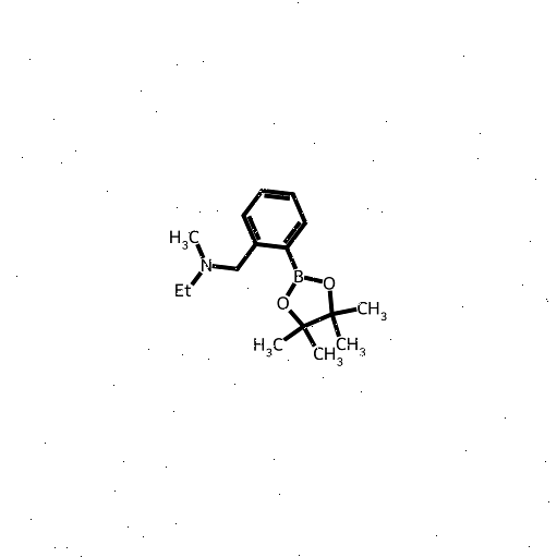 CCN(C)Cc1ccccc1B1OC(C)(C)C(C)(C)O1